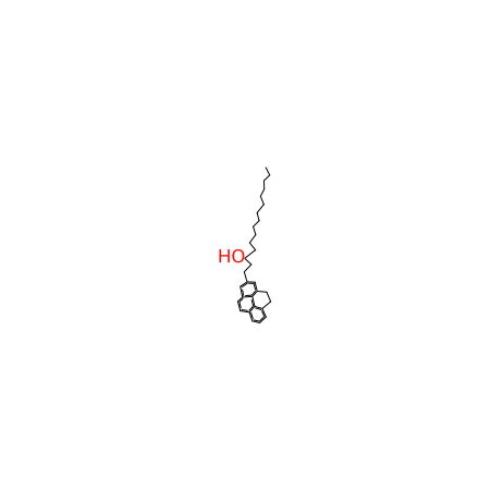 CCCCCCCCCCCCC(O)CCc1cc2c3c(ccc4cccc(c43)CC2)c1